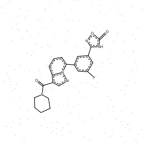 O=C(c1cnn2c(-c3cc(F)cc(-c4noc(=O)[nH]4)c3)cccc12)N1CCCCC1